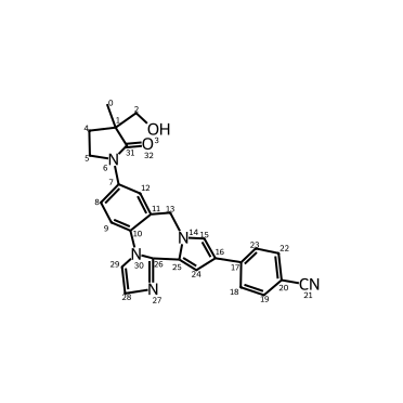 CC1(CO)CCN(c2ccc3c(c2)Cn2cc(-c4ccc(C#N)cc4)cc2-c2nccn2-3)C1=O